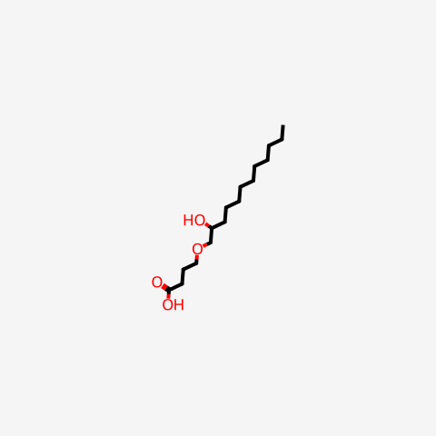 CCCCCCCCCCC(O)COCCCC(=O)O